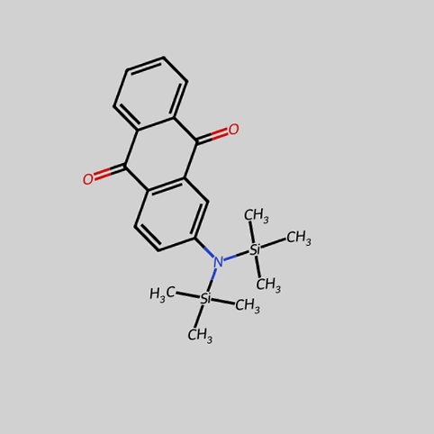 C[Si](C)(C)N(c1ccc2c(c1)C(=O)c1ccccc1C2=O)[Si](C)(C)C